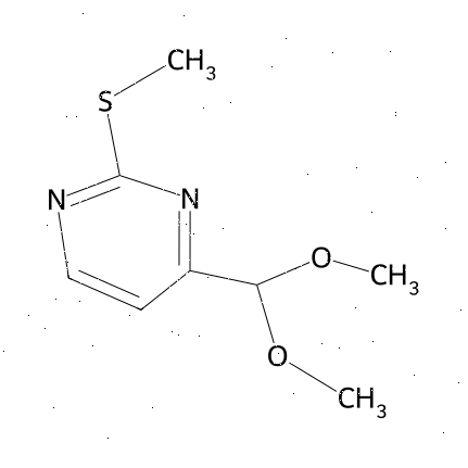 COC(OC)c1ccnc(SC)n1